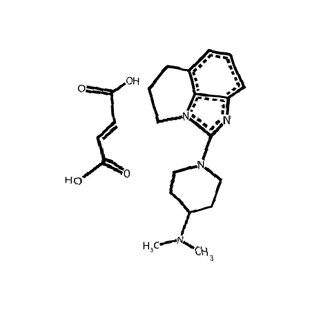 CN(C)C1CCN(c2nc3cccc4c3n2CCC4)CC1.O=C(O)/C=C/C(=O)O